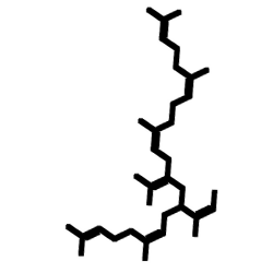 CC=C(C)C(CC=C(C)CCC=C(C)C)CC(CC=C(C)CCC=C(C)CCC=C(C)C)=C(C)C